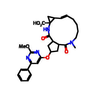 COc1nc(OC2CC3C(=O)NC4(C(=O)O)CC4/C=C/CCCCN(C)C(=O)C3C2)cc(-c2ccccc2)n1